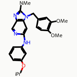 CNc1nc2cnc(Nc3cccc(OC(C)C)c3)cc2n1Cc1ccc(OC)c(OC)c1